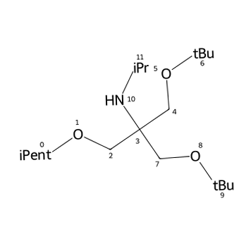 CCCC(C)OCC(COC(C)(C)C)(COC(C)(C)C)NC(C)C